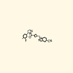 Cc1ccc(C2CC=NN2C(=O)C23CC(Cn4ncc5cc(C#N)ccc54)(C2)C3)cc1F